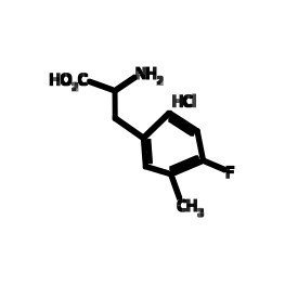 Cc1cc(CC(N)C(=O)O)ccc1F.Cl